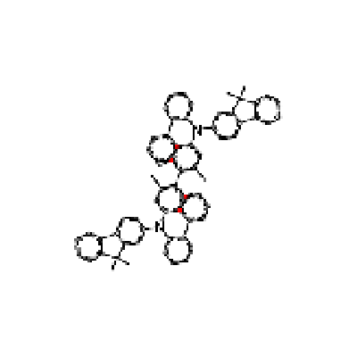 Cc1cc(N(c2ccc3c(c2)C(C)(C)c2ccccc2-3)c2ccccc2-c2ccccc2)cc(C)c1-c1c(C)cc(N(c2ccc3c(c2)C(C)(C)c2ccccc2-3)c2ccccc2-c2ccccc2)cc1C